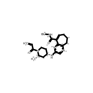 C=CC(=O)N1CC[C@H](Nc2cnc3c(n2)C(C(=O)NC(C)(C)C)=CCCC3)C[C@@H]1C